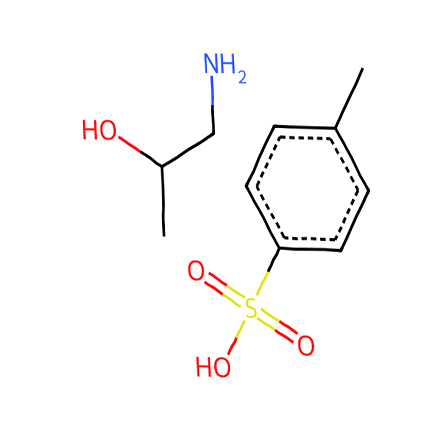 CC(O)CN.Cc1ccc(S(=O)(=O)O)cc1